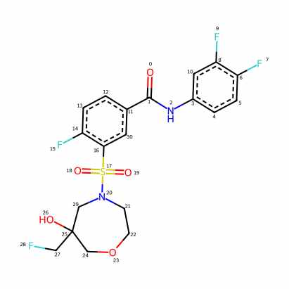 O=C(Nc1ccc(F)c(F)c1)c1ccc(F)c(S(=O)(=O)N2CCOCC(O)(CF)C2)c1